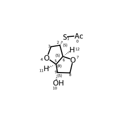 CC(=O)S[C@H]1CO[C@H]2[C@@H]1OC[C@@H]2O